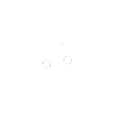 Clc1ccc(OCc2ccc(Cl)c(Cl)c2)c(OC2CNC2)c1